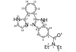 CCN(CC)C(=O)c1ccc2nc(-c3ccccc3-c3ncc[nH]3)[nH]c2c1